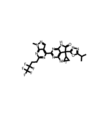 CC(C)c1nnc(C2(C3CC3)C(=O)Nc3nc(-c4nc(CCC(F)(F)C(F)(F)F)nc5c4cnn5C)nc(N)c32)o1